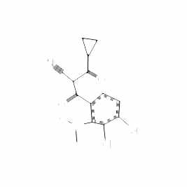 C[S+]([O-])c1c(C(=O)C(C#N)C(=O)C2CC2)ccc(Br)c1Cl